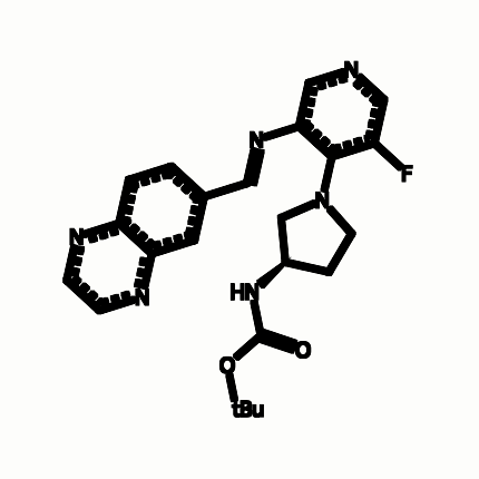 CC(C)(C)OC(=O)N[C@@H]1CCN(c2c(F)cncc2/N=C/c2ccc3nccnc3c2)C1